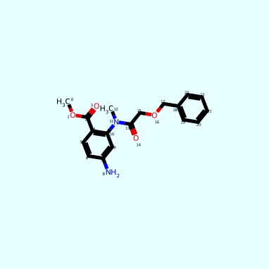 COC(=O)c1ccc(N)cc1N(C)C(=O)COCc1ccccc1